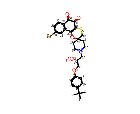 CC(C)(C)c1ccc(OC[C@@H](O)CN2CCC3(CC2)CSC2=C(O3)c3cc(Br)ccc3C(=O)C2=O)cc1